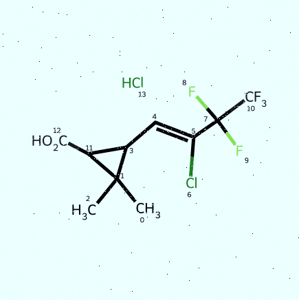 CC1(C)C(C=C(Cl)C(F)(F)C(F)(F)F)C1C(=O)O.Cl